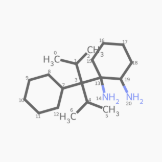 CC(C)C(C(C)C)(C1CCCCC1)C1(N)CCCCC1N